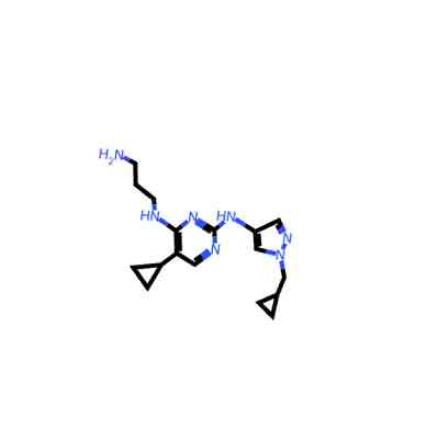 NCCCNc1nc(Nc2cnn(CC3CC3)c2)ncc1C1CC1